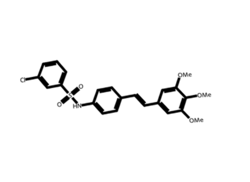 COc1cc(C=Cc2ccc(NS(=O)(=O)c3cccc(Cl)c3)cc2)cc(OC)c1OC